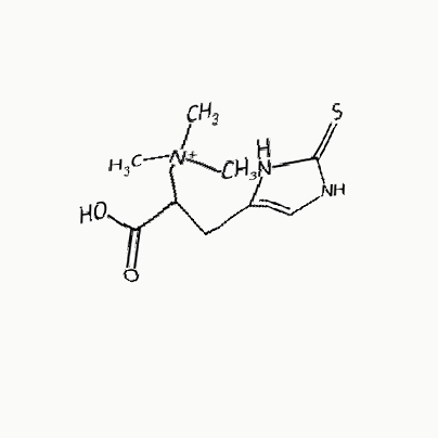 C[N+](C)(C)C(Cc1c[nH]c(=S)[nH]1)C(=O)O